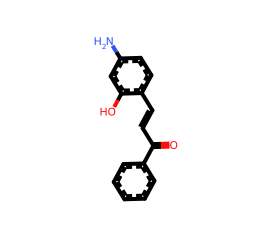 Nc1ccc(C=CC(=O)c2ccccc2)c(O)c1